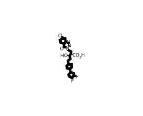 O=C(O)[C@@H](CCn1nnc2cc(Cl)ccc2c1=O)[C@H](O)CCc1ccc(-c2ccc(F)c(F)c2)cc1